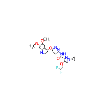 COc1cc2nccc(Oc3ccc(NC(=O)c4nn(C5CC5)cc4OCC(F)F)nn3)c2cc1OC